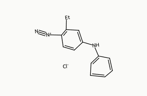 CCc1cc(Nc2ccccc2)ccc1[N+]#N.[Cl-]